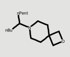 CCCCCC(CCCC)N1CCC2(CC1)COC2